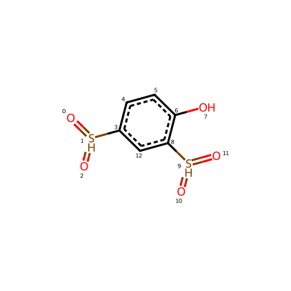 O=[SH](=O)c1ccc(O)c([SH](=O)=O)c1